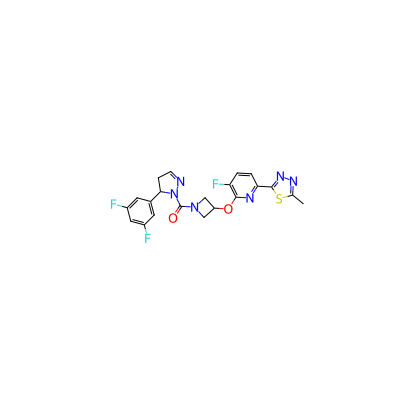 Cc1nnc(-c2ccc(F)c(OC3CN(C(=O)N4N=CCC4c4cc(F)cc(F)c4)C3)n2)s1